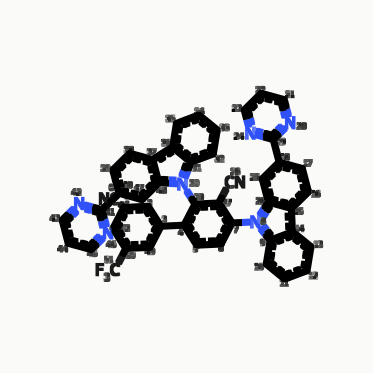 N#Cc1cc(-c2ccc(-n3c4ccccc4c4ccc(-c5ncccn5)cc43)c(C#N)c2-n2c3ccccc3c3ccc(-c4ncccn4)cc32)cc(C(F)(F)F)c1